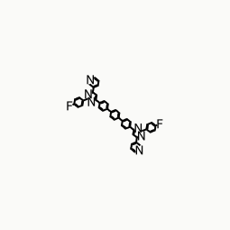 Fc1ccc(-c2nc(-c3ccc(-c4ccc(-c5ccc(-c6cc(-c7cccnc7)nc(-c7ccc(F)cc7)n6)cc5)cc4)cc3)cc(-c3cccnc3)n2)cc1